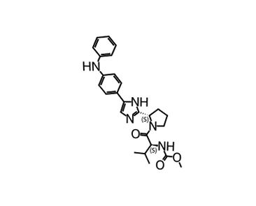 COC(=O)N[C@H](C(=O)N1CCC[C@H]1c1ncc(-c2ccc(Nc3ccccc3)cc2)[nH]1)C(C)C